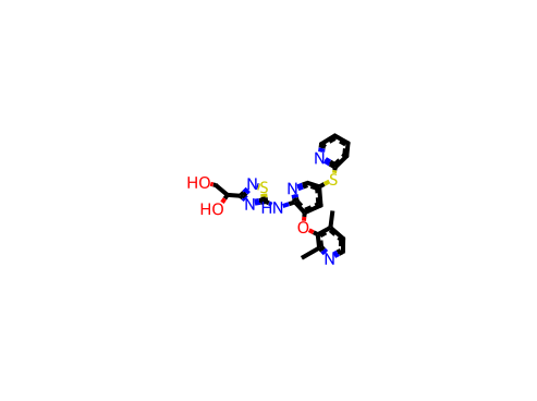 Cc1ccnc(C)c1Oc1cc(Sc2ccccn2)cnc1Nc1nc(C(O)CO)ns1